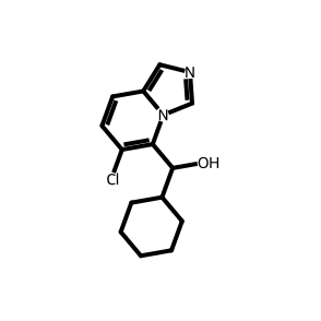 OC(c1c(Cl)ccc2cncn12)C1CCCCC1